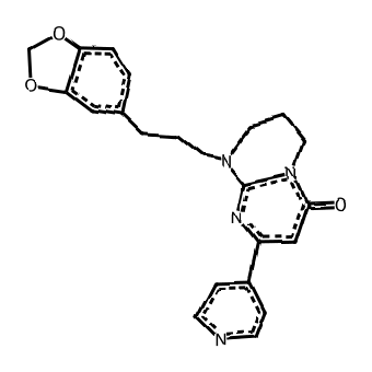 O=c1cc(-c2ccncc2)nc2n1CCCN2CCCc1ccc2c(c1)OCO2